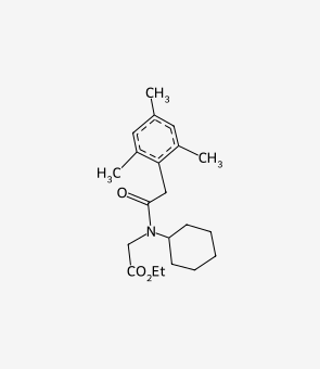 CCOC(=O)CN(C(=O)Cc1c(C)cc(C)cc1C)C1CCCCC1